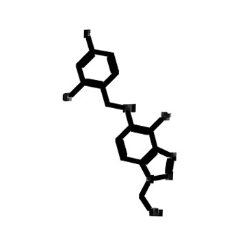 CC(C)(C)Cn1nnc2c(Br)c(NCc3ccc(F)cc3Cl)ccc21